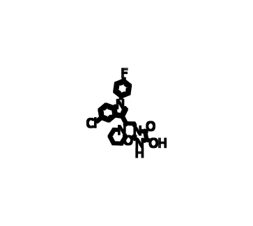 O=C1NC(O)C(=O)N1CC(c1cn(-c2ccc(F)cc2)c2ccc(Cl)cc12)N1CCCCC1